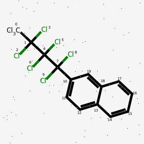 ClC(Cl)(Cl)C(Cl)(Cl)C(Cl)(Cl)C(Cl)(Cl)c1ccc2[c]cccc2c1